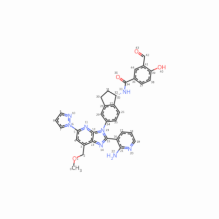 COCc1cc(-n2cccn2)nc2c1nc(-c1cccnc1N)n2-c1ccc2c(c1)CC[C@@H]2NC(=O)c1ccc(O)c(C=O)c1